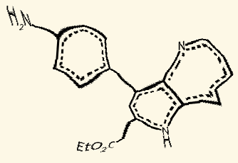 CCOC(=O)c1[nH]c2cccnc2c1-c1ccc(N)cc1